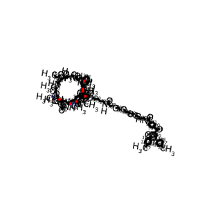 C/C=C(\C)[C@H]1OC(=O)[C@@H](C)NC[C@H](C(C)CC)NC(=O)CN(C)C(=O)[C@@H](Cc2ccccc2)N(C)C(=O)[C@H](C)NC(=O)[C@@H](CC(C)C)OC(=O)/C(C)=C\C2(CCCCCOP(=O)(O)OP(=O)(O)OCCCCCNC(=O)CCOCCOCCOCCOCCNC(=O)c3ccc(C(=O)C(CSc4ccc(C)cc4)CS(=O)(=O)c4ccc(C)cc4)cc3)C[C@H](OC(=O)N2)[C@@H]1C